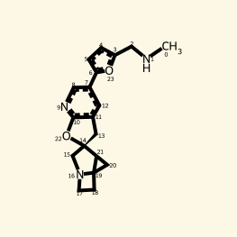 CNCc1ccc(-c2cnc3c(c2)C[C@@]2(CN4CCC45CC52)O3)o1